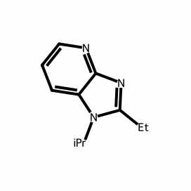 CCc1nc2ncccc2n1C(C)C